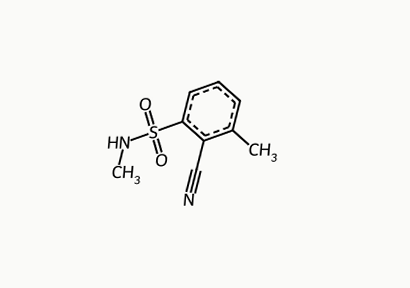 CNS(=O)(=O)c1cccc(C)c1C#N